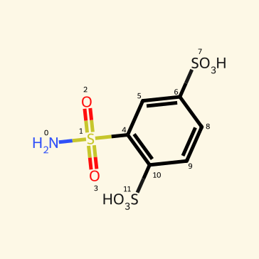 NS(=O)(=O)c1cc(S(=O)(=O)O)ccc1S(=O)(=O)O